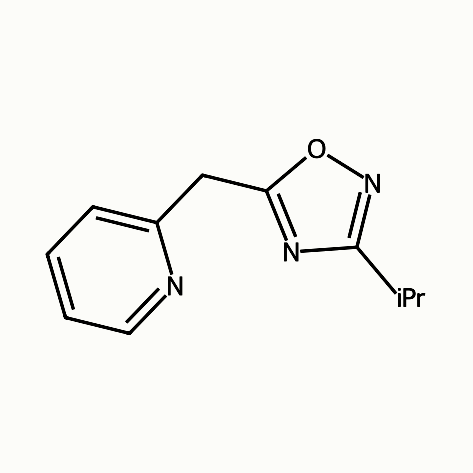 CC(C)c1noc(Cc2ccccn2)n1